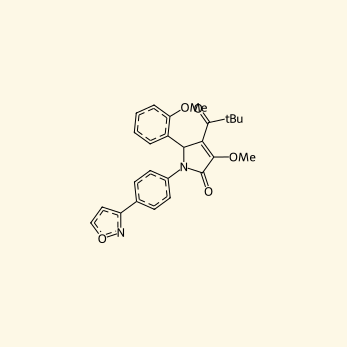 COC1=C(C(=O)C(C)(C)C)C(c2ccccc2OC)N(c2ccc(-c3ccon3)cc2)C1=O